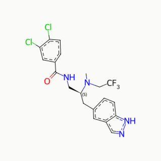 CN(CC(F)(F)F)[C@H](CNC(=O)c1ccc(Cl)c(Cl)c1)Cc1ccc2[nH]ncc2c1